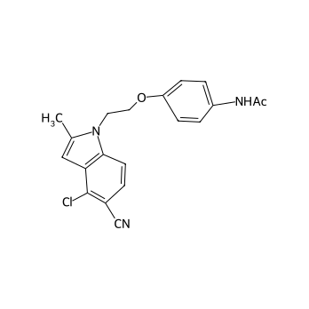 CC(=O)Nc1ccc(OCCn2c(C)cc3c(Cl)c(C#N)ccc32)cc1